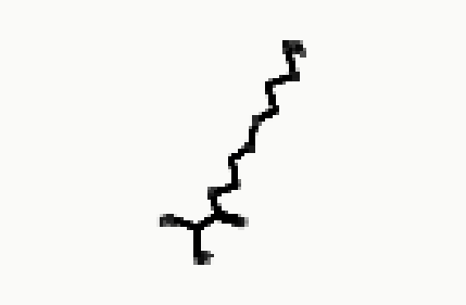 CCCC(CCC)C(=O)OCCSSCCO[N+](=O)[O-]